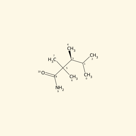 CC(C)[C@H](C)C(C)(C)C(N)=O